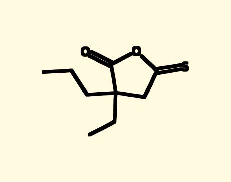 CCCC1(CC)CC(=S)OC1=O